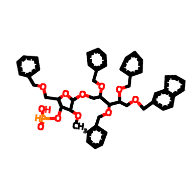 COC1C(OCC(OCc2ccccc2)C(OCc2ccccc2)C(COCc2ccc3ccccc3c2)OCc2ccccc2)OC(COCc2ccccc2)C1O[PH](=O)O